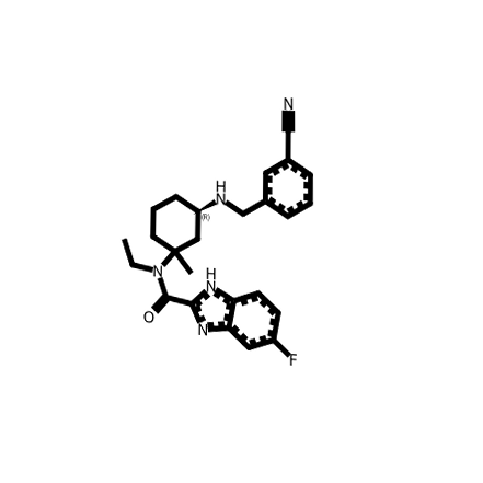 CCN(C(=O)c1nc2cc(F)ccc2[nH]1)C1(C)CCC[C@@H](NCc2cccc(C#N)c2)C1